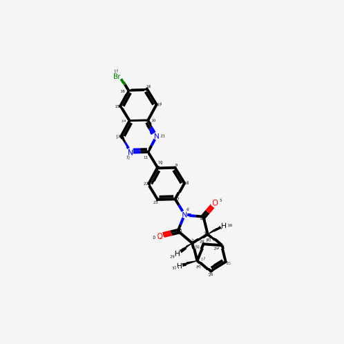 O=C1[C@@H]2[C@H](C(=O)N1c1ccc(-c3ncc4cc(Br)ccc4n3)cc1)C1C=C[C@H]2C1